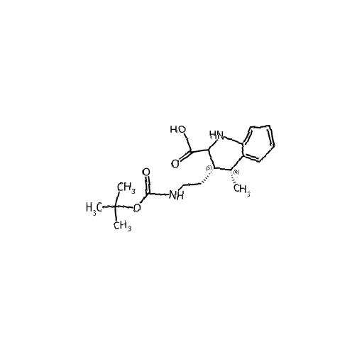 C[C@H]1c2ccccc2NC(C(=O)O)[C@H]1CCNC(=O)OC(C)(C)C